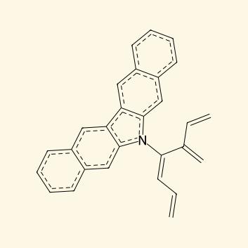 C=C/C=C(\C(=C)C=C)n1c2cc3ccccc3cc2c2cc3ccccc3cc21